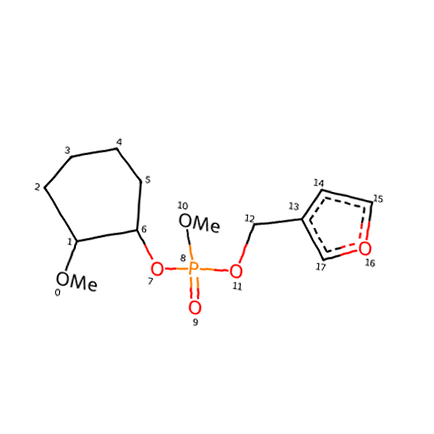 COC1CCCCC1OP(=O)(OC)OCc1ccoc1